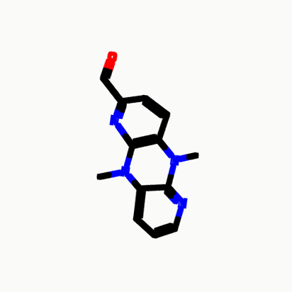 CN1c2ccc(C=O)nc2N(C)c2cccnc21